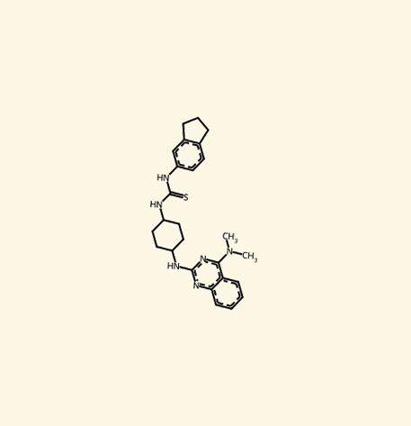 CN(C)c1nc(NC2CCC(NC(=S)Nc3ccc4c(c3)CCC4)CC2)nc2ccccc12